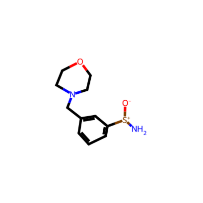 N[S+]([O-])c1cccc(CN2CCOCC2)c1